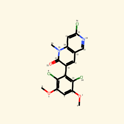 COc1cc(OC)c(Cl)c(-c2cc3cnc(Cl)cc3n(C)c2=O)c1Cl